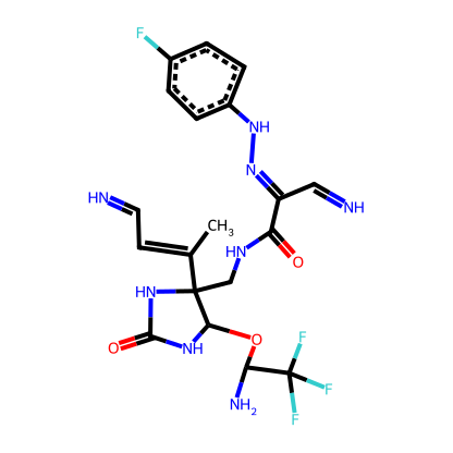 C/C(=C\C=N)C1(CNC(=O)/C(C=N)=N/Nc2ccc(F)cc2)NC(=O)NC1OC(N)C(F)(F)F